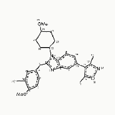 COc1ccc(Cc2nc3cc(-c4c(C)noc4C)ccc3n2C2CCC(OC)CC2)cc1F